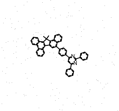 CC1(C)c2c(cc(-c3ccc(-c4cc(-c5ccccc5)nc(-c5ccccc5)n4)cc3)c3ccccc23)-c2c1c1ccccc1c1ccccc21